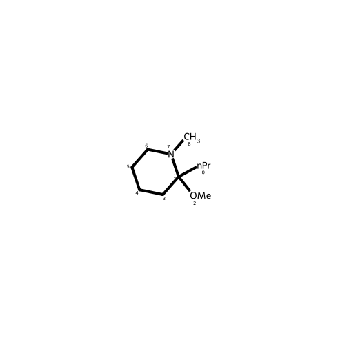 CCCC1(OC)CCCCN1C